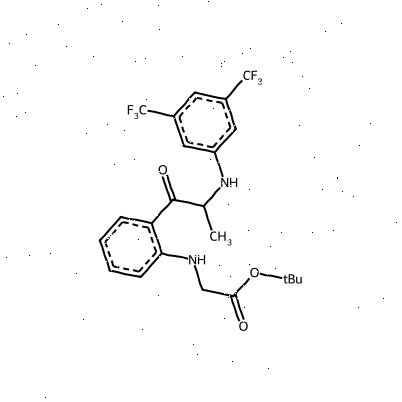 CC(Nc1cc(C(F)(F)F)cc(C(F)(F)F)c1)C(=O)c1ccccc1NCC(=O)OC(C)(C)C